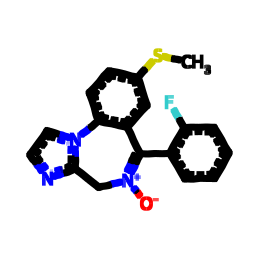 CSc1ccc2c(c1)C(c1ccccc1F)=[N+]([O-])Cc1nccn1-2